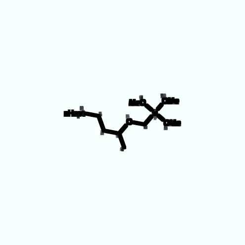 CCCCCCCCCC(C)OC[Si](OC)(OC)OC